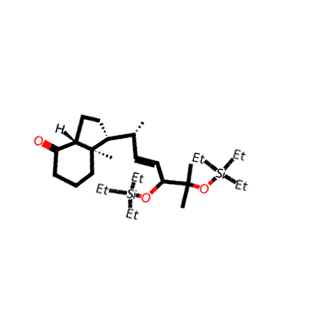 CC[Si](CC)(CC)OC(/C=C/[C@@H](C)[C@H]1CC[C@H]2C(=O)CCC[C@]12C)C(C)(C)O[Si](CC)(CC)CC